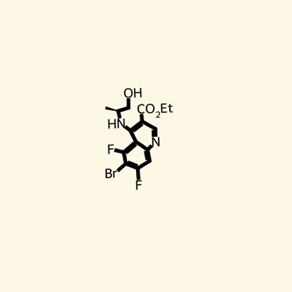 CCOC(=O)c1cnc2cc(F)c(Br)c(F)c2c1N[C@@H](C)CO